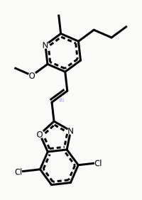 CCCc1cc(/C=C/c2nc3c(Cl)ccc(Cl)c3o2)c(OC)nc1C